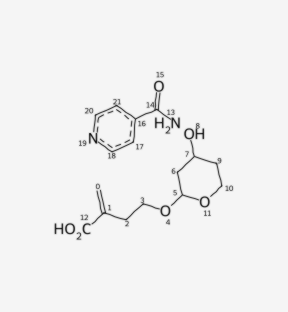 C=C(CCOC1CC(O)CCO1)C(=O)O.NC(=O)c1ccncc1